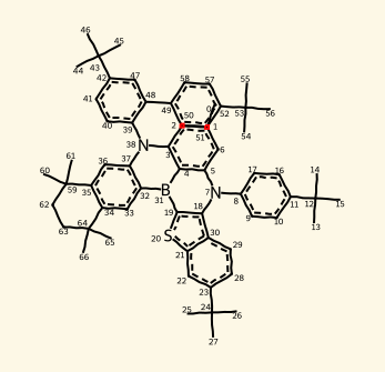 Cc1cc2c3c(c1)N(c1ccc(C(C)(C)C)cc1)c1c(sc4cc(C(C)(C)C)ccc14)B3c1cc3c(cc1N2c1ccc(C(C)(C)C)cc1-c1ccc(C(C)(C)C)cc1)C(C)(C)CCC3(C)C